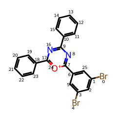 Brc1cc(Br)cc(-c2nc(-c3ccccc3)nc(-c3ccccc3)[o+]2)c1